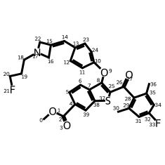 COC(=O)c1ccc2c(Oc3ccc(C=C4CN(CCCF)C4)cc3)c(C(=O)c3c(C)cc(F)cc3C)sc2c1